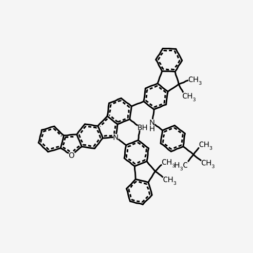 CC(C)(C)c1ccc(Nc2cc3c(cc2-c2ccc4c5cc6c(cc5n5c4c2Bc2cc4c(cc2-5)-c2ccccc2C4(C)C)oc2ccccc26)-c2ccccc2C3(C)C)cc1